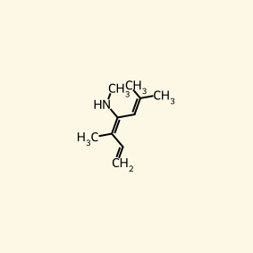 C=C/C(C)=C(\C=C(C)C)NC